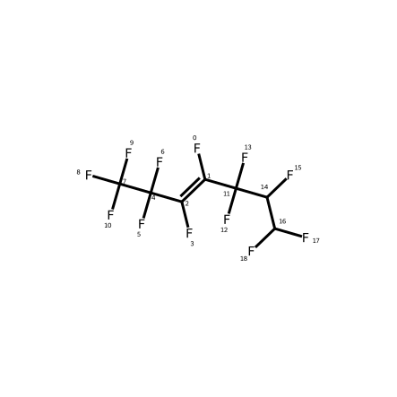 FC(=C(F)C(F)(F)C(F)(F)F)C(F)(F)C(F)C(F)F